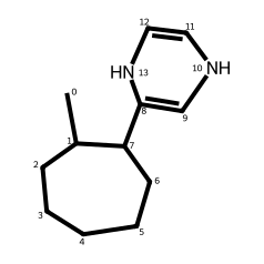 CC1CCCCCC1C1=CNC=CN1